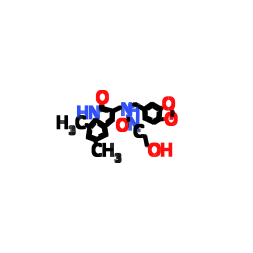 Cc1cc(C)c2[nH]c(=O)c(CN(Cc3ccc4c(c3)OCO4)C(=O)NCCCO)cc2c1